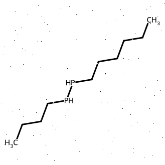 CCCCCCPPCCCC